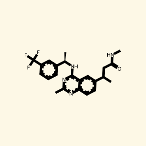 CNC(=O)CC(C)c1ccc2nc(C)nc(N[C@H](C)c3cccc(C(F)(F)F)c3)c2c1